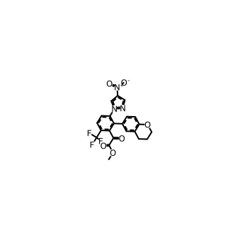 COC(=O)C(=O)c1c(C(F)(F)F)ccc(-n2cc([N+](=O)[O-])cn2)c1-c1ccc2c(c1)CCCO2